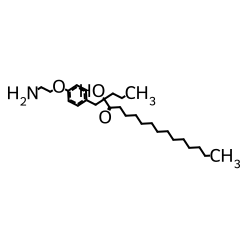 CCCCCCCCCCCCCC(=O)C(O)(CCC)Cc1ccc(OCCN)cc1